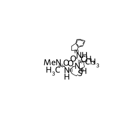 CN[C@@H](C)C(=O)N[C@H]1CCS[C@H]2CC(C)(C)[C@@H](C(=O)N[C@@H]3CCc4ccccc43)N2C1=O